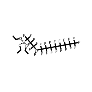 CCO[Si](OCC)(OCC)C(F)(F)C(F)(F)C(F)(F)N(F)C(F)(F)C(F)(F)C(F)(F)C(F)(F)C(F)(F)C(F)(F)C(F)(F)C(F)(F)F